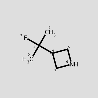 CC(C)(F)[C]1CNC1